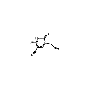 C=CCn1cc(C#N)c(=O)[nH]c1=O